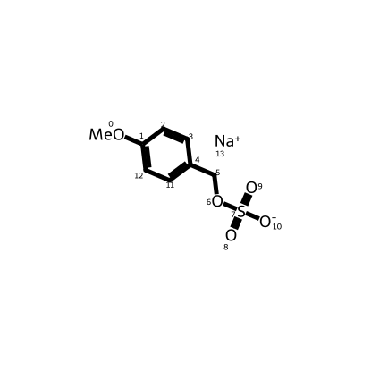 COc1ccc(COS(=O)(=O)[O-])cc1.[Na+]